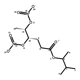 CC(C)C(C)OC(=O)CC[C@H](O[N+](=O)[O-])[C@H](C)O[N+](=O)[O-]